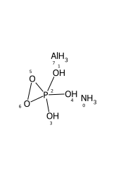 N.OP1(O)(O)OO1.[AlH3]